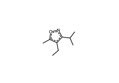 CCc1c(C(C)C)noc1C